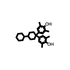 Cc1cc(C2(c3cc(C)c(O)c(C)c3)CCC(C3CCCCC3)CC2)cc(C)c1O